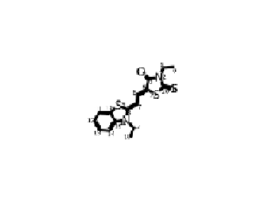 CCN1C(=O)/C(=C/C=C2\Sc3ccccc3N2CC)SC1=S